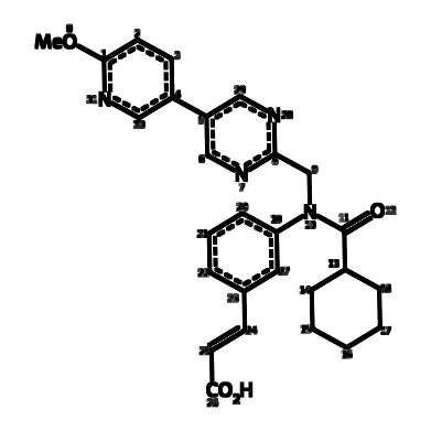 COc1ccc(-c2cnc(CN(C(=O)C3CCCCC3)c3cccc(C=CC(=O)O)c3)nc2)cn1